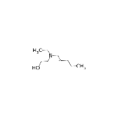 CCC[CH]CN(CC)CCO